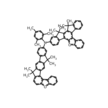 Cc1cc(C)c(N(c2ccc3c(c2)C(C)(C)c2cc4c(cc2-3)C(C)(C)c2ccc3oc5ccccc5c3c2-4)c2ccc3c(c2)C(C)(C)c2c4c(c5c(oc6ccccc65)c2-3)-c2ccccc2C4(C)C)c(C)c1